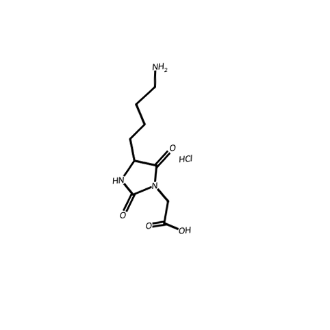 Cl.NCCCCC1NC(=O)N(CC(=O)O)C1=O